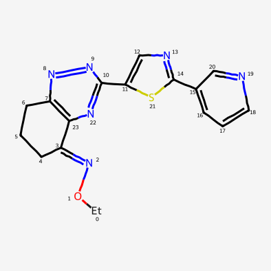 CCO/N=C1\CCCc2nnc(-c3cnc(-c4cccnc4)s3)nc21